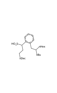 CCCCCCCCCCCCC(c1ccccc1CC(CCCC)CCCCCC)S(=O)(=O)O